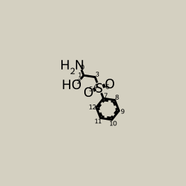 NC(O)CS(=O)(=O)c1ccccc1